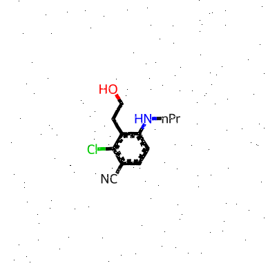 CCCNc1ccc(C#N)c(Cl)c1CCO